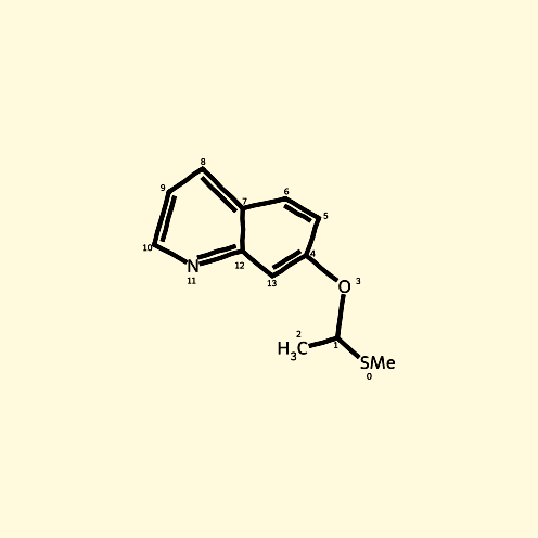 CSC(C)Oc1ccc2cccnc2c1